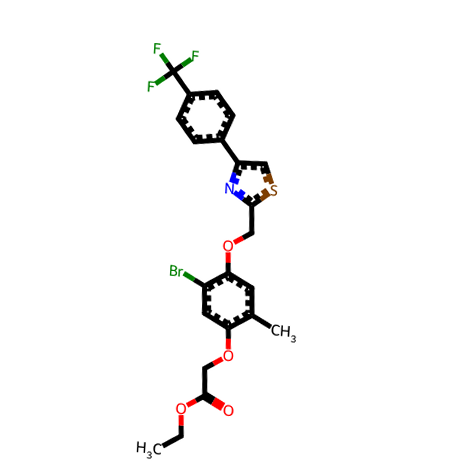 CCOC(=O)COc1cc(Br)c(OCc2nc(-c3ccc(C(F)(F)F)cc3)cs2)cc1C